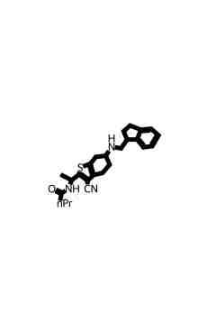 CCCC(=O)NC(C)c1sc2c(c1C#N)CCC(NCC1CCc3ccccc31)C2